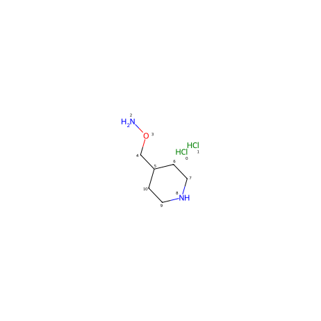 Cl.Cl.NOCC1CCNCC1